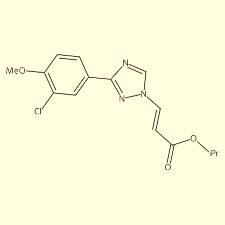 COc1ccc(-c2ncn(C=CC(=O)OC(C)C)n2)cc1Cl